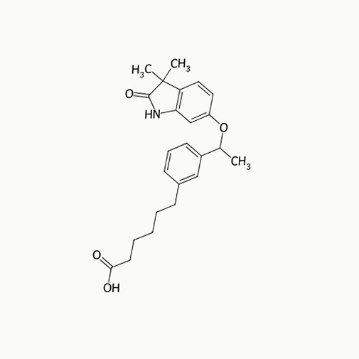 CC(Oc1ccc2c(c1)NC(=O)C2(C)C)c1cccc(CCCCCC(=O)O)c1